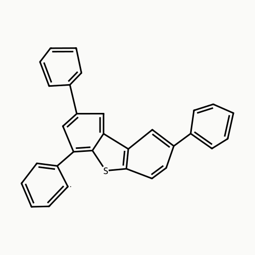 [c]1ccccc1-c1cc(-c2ccccc2)cc2c1sc1ccc(-c3ccccc3)cc12